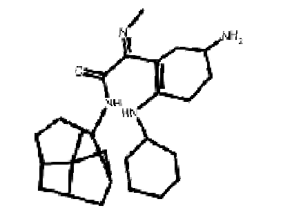 C/N=C(/C(=O)NC1C2CC3CC4CC1CC34C2)C1=C(NC2CCCCC2)CCC(N)C1